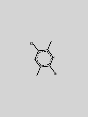 Cc1nc(Br)c(C)nc1Cl